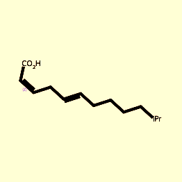 CC(C)CCCCC=CC/C=C\C(=O)O